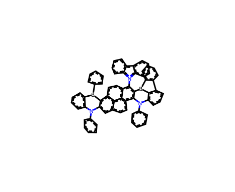 c1ccc(B2c3ccccc3N(c3ccccc3)c3cc4ccc5c6c(c(-n7c8ccccc8c8ccccc87)c7ccc(c32)c4c57)B2c3ccccc3-c3cccc(c32)N6c2ccccc2)cc1